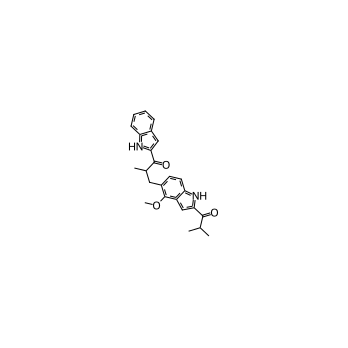 COc1c(CC(C)C(=O)c2cc3ccccc3[nH]2)ccc2[nH]c(C(=O)C(C)C)cc12